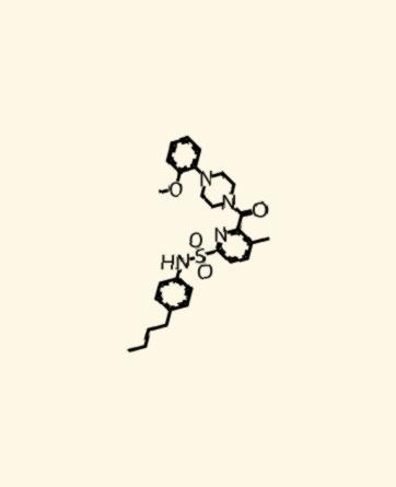 CCCCc1ccc(NS(=O)(=O)c2ccc(C)c(C(=O)N3CCN(c4ccccc4OC)CC3)n2)cc1